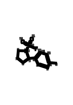 Cc1ccc(C2CCCN2S(=O)(=O)F)cc1